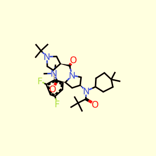 CN(C)C(=O)[C@@H]1C[C@H](N(C(=O)C(C)(C)C)C2CCC(C)(C)CC2)CN1C(=O)[C@@H]1CN(C(C)(C)C)C[C@H]1c1ccc(F)cc1F